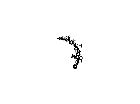 CC(C)(C)[Si](C)(C)OCC1CN(c2ccc(OCC3(O)CCN(c4cc5c(cc4F)c(=O)c(C(=O)OCc4ccccc4)cn5C4CC4)CC3)c(F)c2)C(=O)O1